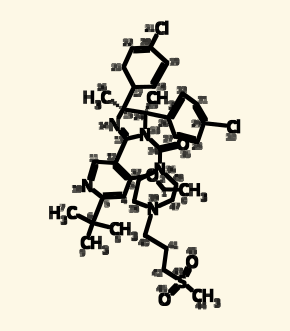 CCOc1cc(C(C)(C)C)ncc1C1=N[C@@](C)(C2C=CC(Cl)=CC2)[C@@](C)(c2ccc(Cl)cc2)N1C(=O)N1CCN(CCCS(C)(=O)=O)CC1